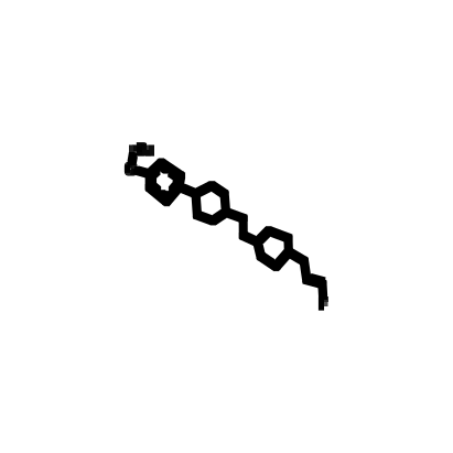 CCCCOc1ccc(C2CCC(CCC3CCC(CC=CF)CC3)CC2)cc1